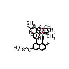 COCOc1cc(-c2cc3nc(SC)ncc3c(N3CCCC3)n2)c2c(C#C[Si](C(C)C)(C(C)C)C(C)C)c(F)ccc2c1